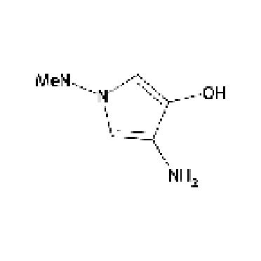 CNn1cc(N)c(O)c1